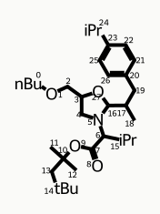 CCCCOCC1CN(C(C(=O)OC(C)(C)CC(C)(C)C)C(C)C)C(C(C)Cc2ccc(C(C)C)cc2)O1